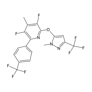 Cc1c(F)c(Oc2cc(C(F)(F)F)nn2C)nc(-c2ccc(C(F)(F)F)cc2)c1F